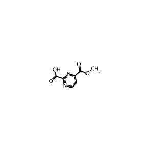 COC(=O)c1ccnc(C(=O)O)n1